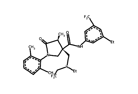 CCc1cc(NC(=O)[C@]2(CN(CC)CC(F)(F)F)CN(c3c(C)cccc3C)C(=O)[C@H]2C)cc(C(F)(F)F)c1